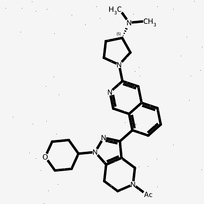 CC(=O)N1CCc2c(c(-c3cccc4cc(N5CC[C@H](N(C)C)C5)ncc34)nn2C2CCOCC2)C1